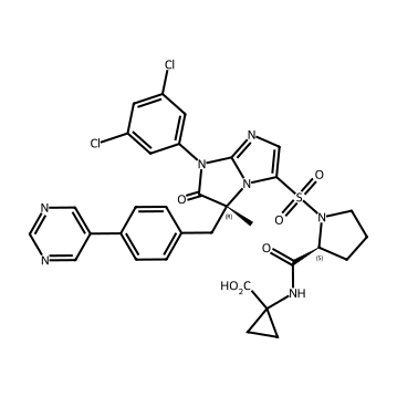 C[C@@]1(Cc2ccc(-c3cncnc3)cc2)C(=O)N(c2cc(Cl)cc(Cl)c2)c2ncc(S(=O)(=O)N3CCC[C@H]3C(=O)NC3(C(=O)O)CC3)n21